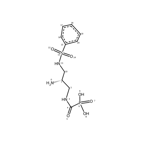 N[C@@H](CNC(=O)P(=O)(O)O)CNS(=O)(=O)c1ccccc1